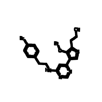 CCOc1c(-c2cc(NCCc3ccc(Br)cc3)ncn2)csc1CCC#N